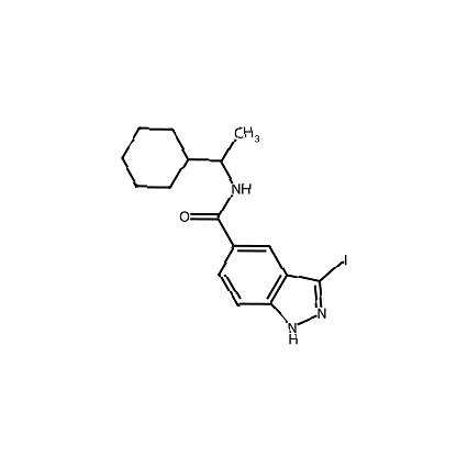 CC(NC(=O)c1ccc2[nH]nc(I)c2c1)C1CCCCC1